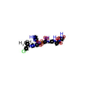 CC1(C)CCC(CN2CCN(c3ccc(C(=O)NS(=O)(=O)c4ccc(NCC5CCC(Nc6cccc7c6C(=O)N(C6CCC(=O)NC6=O)C7=O)CC5)c([N+](=O)[O-])c4)c(Oc4cnc5[nH]ccc5c4)c3)CC2)=C(c2ccc(Cl)cc2)C1